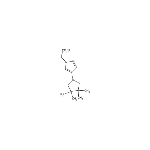 CCOC(=O)Cn1cc(B2CC(C)(C)C(C)(C)C2)cn1